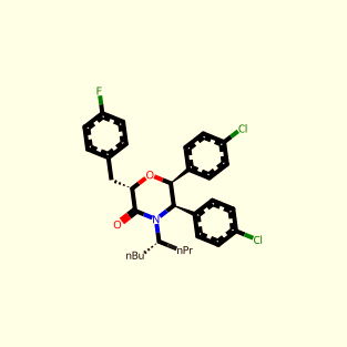 CCCC[C@@H](CCC)N1C(=O)[C@H](Cc2ccc(F)cc2)O[C@@H](c2ccc(Cl)cc2)[C@H]1c1ccc(Cl)cc1